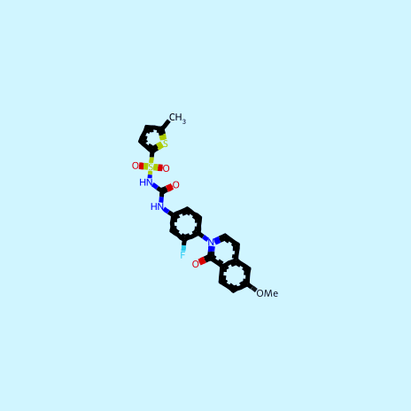 COc1ccc2c(=O)n(-c3ccc(NC(=O)NS(=O)(=O)c4ccc(C)s4)cc3F)ccc2c1